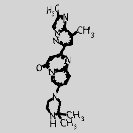 Cc1cn2nc(-c3cc(=O)n4cc(N5CCNC(C)(C)C5)ccc4n3)cc(C)c2n1